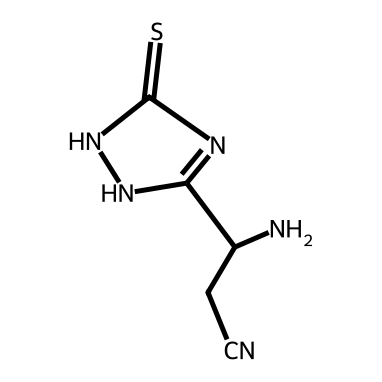 N#CCC(N)c1nc(=S)[nH][nH]1